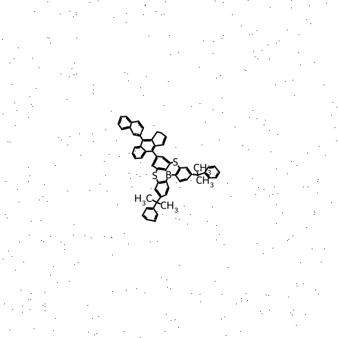 CC(C)(c1ccccc1)c1ccc2c(c1)Sc1cc(-c3c4c(c(-c5ccc6ccccc6c5)c5ccccc35)CCC=C4)cc3c1B2c1ccc(C(C)(C)c2ccccc2)cc1S3